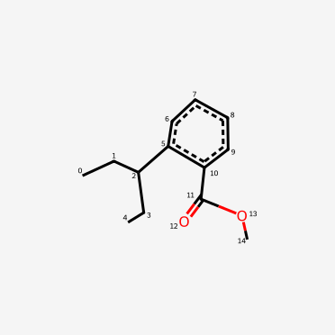 CCC(CC)c1ccccc1C(=O)OC